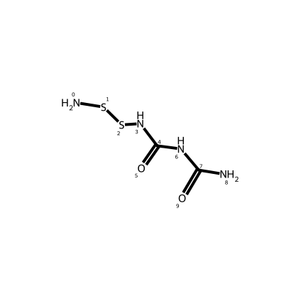 NSSNC(=O)NC(N)=O